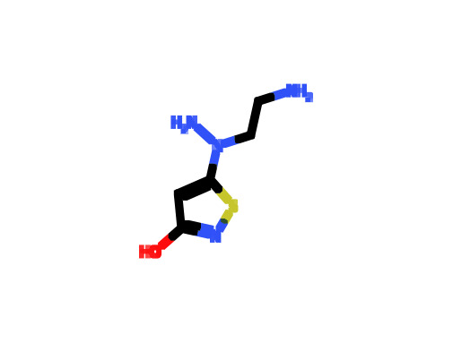 NCCN(N)c1cc(O)ns1